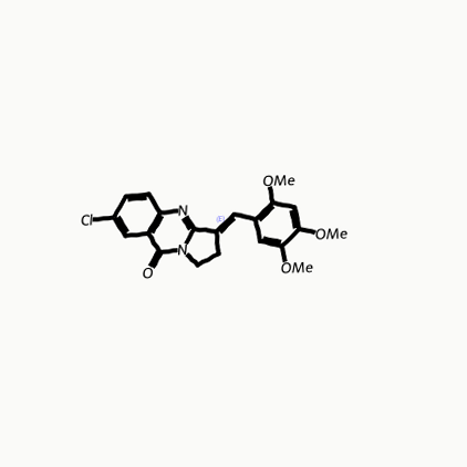 COc1cc(OC)c(OC)cc1/C=C1\CCn2c1nc1ccc(Cl)cc1c2=O